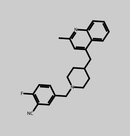 Cc1cc(CC2CCN(Cc3ccc(F)c(C#N)c3)CC2)c2ccccc2n1